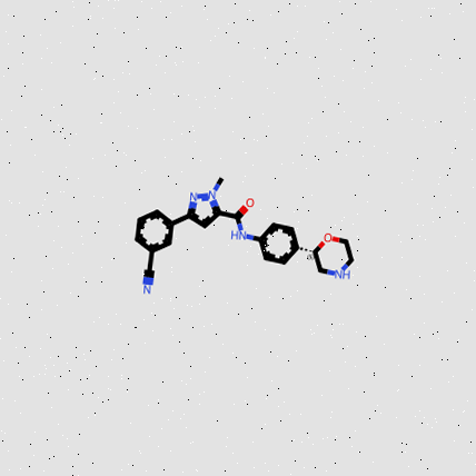 Cn1nc(-c2cccc(C#N)c2)cc1C(=O)Nc1ccc([C@H]2CNCCO2)cc1